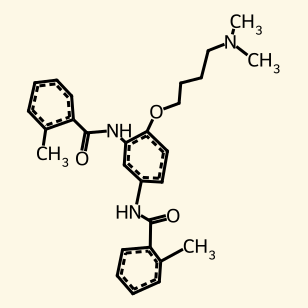 Cc1ccccc1C(=O)Nc1ccc(OCCCCN(C)C)c(NC(=O)c2ccccc2C)c1